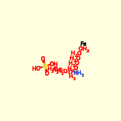 N.O.O.O.O.O.O.O.O.O.O=S(=O)(O)O.[Fe]